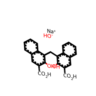 O=C(O)c1cc2ccccc2c(Cc2c(O)c(C(=O)O)cc3ccccc23)c1O.[Na+].[OH-]